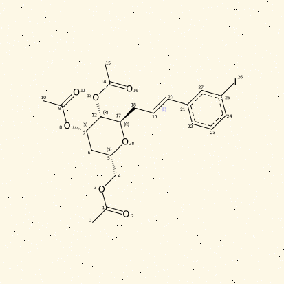 CC(=O)OC[C@@H]1C[C@H](OC(C)=O)[C@H](OC(C)=O)[C@@H](C/C=C/c2cccc(I)c2)O1